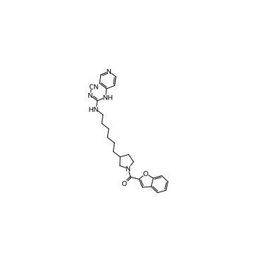 N#CN=C(NCCCCCCC1CCN(C(=O)c2cc3ccccc3o2)C1)Nc1ccncc1